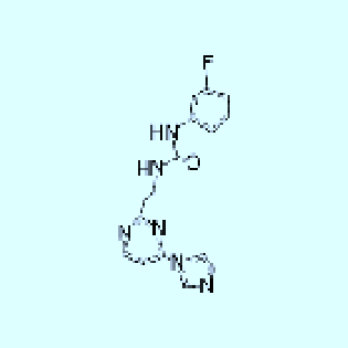 O=C(NCCc1nccc(-n2ccnc2)n1)Nc1cccc(F)c1